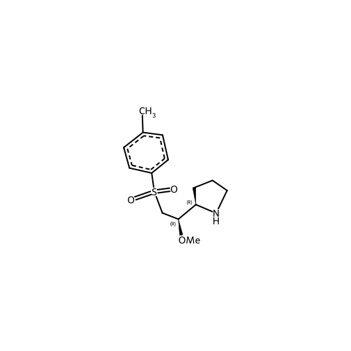 CO[C@@H](CS(=O)(=O)c1ccc(C)cc1)[C@H]1CCCN1